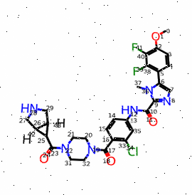 COc1ccc(-c2cnc(C(=O)Nc3ccc(C(=O)N4CCN(C(=O)C5[C@H]6CNC[C@@H]56)CC4)c(Cl)c3)n2C)c(F)c1F